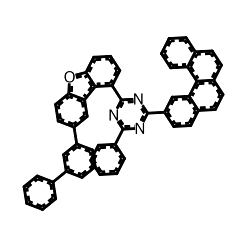 c1ccc(-c2cccc(-c3ccc4oc5cccc(-c6nc(-c7ccccc7)nc(-c7ccc8ccc9ccc%10ccccc%10c9c8c7)n6)c5c4c3)c2)cc1